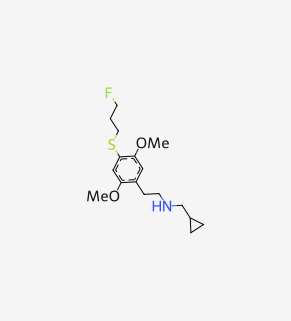 COc1cc(SCCCF)c(OC)cc1CCNCC1CC1